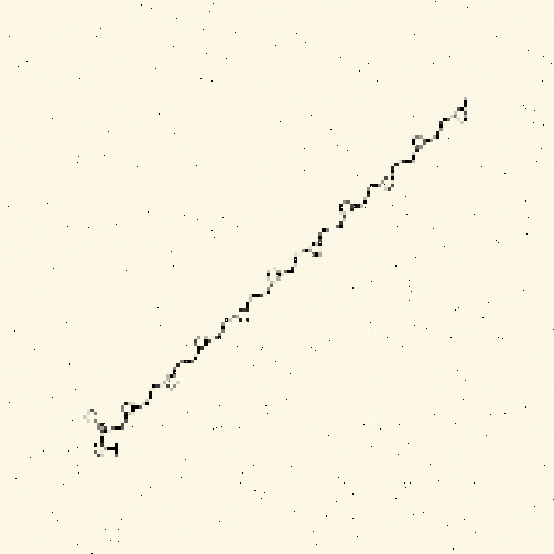 COCCOCCOCCOCCOCCOCCOCCOCCOCCOCC(=O)O